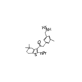 CCCc1sc2c(c1C(=O)Cc1cc(C)cc(CNS)c1)CC(C)(C)CC2